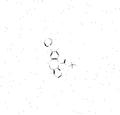 CC(C)(C)OC(=O)N1c2cc(F)c(N3C[C@@H]4C[C@H]3CO4)cc2NCc2cccnc21